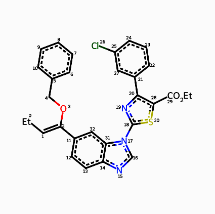 CC/C=C(\OCc1ccccc1)c1ccc2ncn(-c3nc(-c4cccc(Cl)c4)c(C(=O)OCC)s3)c2c1